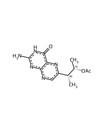 CC(=O)O[C@@H](C)[C@H](C)c1cnc2nc(N)[nH]c(=O)c2n1